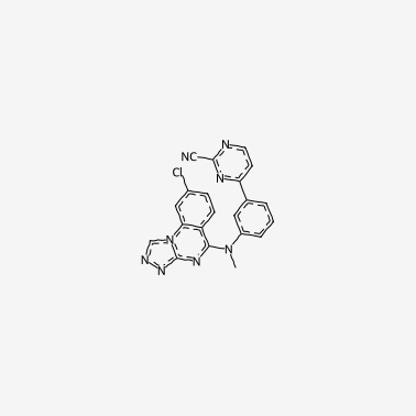 CN(c1cccc(-c2ccnc(C#N)n2)c1)c1nc2nncn2c2cc(Cl)ccc12